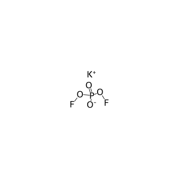 O=P([O-])(OF)OF.[K+]